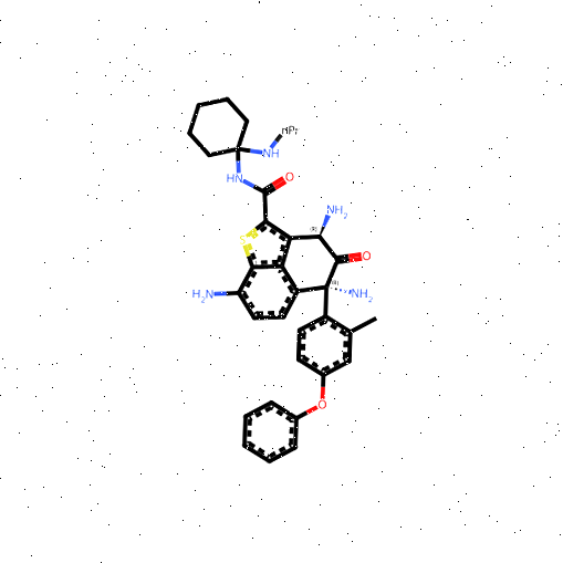 CCCNC1(NC(=O)c2sc3c(N)ccc4c3c2[C@@H](N)C(=O)[C@@]4(N)c2ccc(Oc3ccccc3)cc2C)CCCCC1